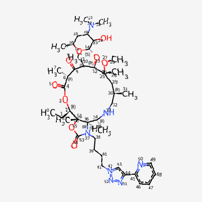 CC[C@H]1OC(=O)[C@H](C)C(=O)[C@@H](C)[C@@H](O[C@@H]2OC(C)CC(N(C)C)C2O)[C@](C)(OC)C[C@@H](C)CN[C@H](C)[C@H]2N(CCCCn3cc(-c4ccccn4)nn3)C(=O)O[C@]12C